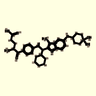 Cc1c(C(Nc2ccc(C(=O)N(C)CCC(=O)O)cc2)C2CCCCC2)oc2ccc(OC3CCS(O)(O)CC3)cc12